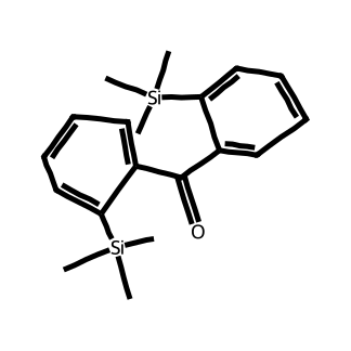 C[Si](C)(C)c1ccccc1C(=O)c1ccccc1[Si](C)(C)C